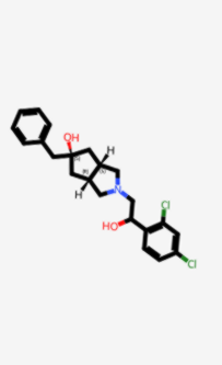 OC(CN1C[C@@H]2C[C@](O)(Cc3ccccc3)C[C@@H]2C1)c1ccc(Cl)cc1Cl